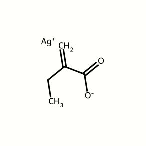 C=C(CC)C(=O)[O-].[Ag+]